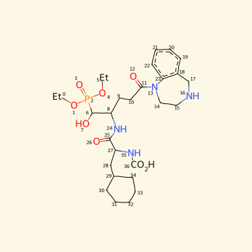 CCOP(=O)(OCC)C(O)C(CCC(=O)N1CCNCc2ccccc21)NC(=O)C(CC1CCCCC1)NC(=O)O